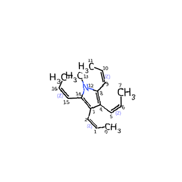 C/C=C\c1c(/C=C\C)c(/C=C\C)n(C)c1/C=C\C